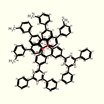 Cc1cccc(-c2ccc3c(c2)c2cc(-c4cccc(C)c4)ccc2n3-c2ccc(-c3nc(-c4ccccc4)nc(-c4ccccc4)n3)cc2-c2cc(-c3nc(-c4ccccc4)nc(-c4ccccc4)n3)ccc2-n2c3ccc(-c4cccc(C)c4)cc3c3cc(-c4cccc(C)c4)ccc32)c1